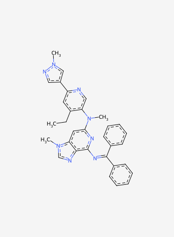 CCc1cc(-c2cnn(C)c2)ncc1N(C)c1cc2c(ncn2C)c(N=C(c2ccccc2)c2ccccc2)n1